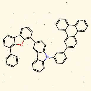 c1ccc(-c2cccc3c2oc2c(-c4ccc5c(c4)c4ccccc4n5-c4cccc(-c5ccc6c7ccccc7c7ccccc7c6c5)c4)cccc23)cc1